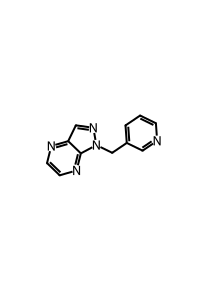 c1cncc(Cn2ncc3nccnc32)c1